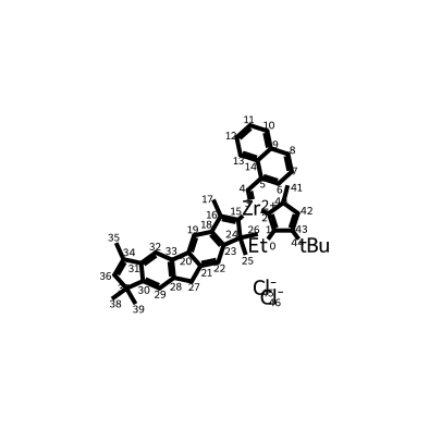 CCC1=[C]([Zr+2](=[CH]c2cccc3ccccc23)[C]2=C(C)c3cc4c(cc3C2(C)C)Cc2cc3c(cc2-4)C(C)=CC3(C)C)C(C)C=C1C(C)(C)C.[Cl-].[Cl-]